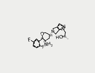 C[C@H](O)Cn1ncc2c1CN([C@H]1CO[C@H](c3cc(F)ccc3F)[C@@H](N)C1)C2